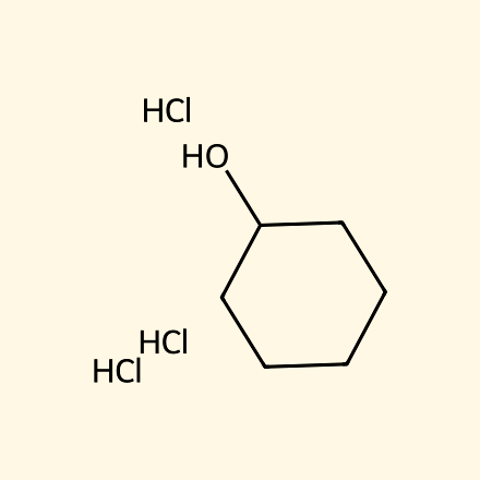 Cl.Cl.Cl.OC1CCCCC1